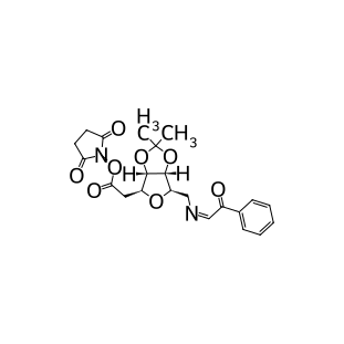 CC1(C)O[C@@H]2[C@H](O1)[C@@H](C/N=C\C(=O)c1ccccc1)O[C@H]2CC(=O)ON1C(=O)CCC1=O